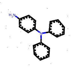 Nc1ccc(N(c2ccccc2)c2ccccc2)cc1